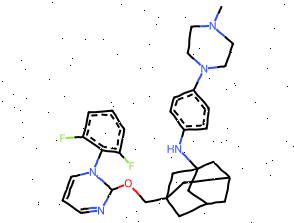 CN1CCN(c2ccc(NC34CC5CC(CC(COC6N=CC=CN6c6c(F)cccc6F)(C5)C3)C4)cc2)CC1